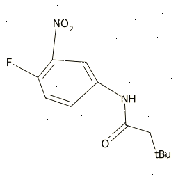 CC(C)(C)CC(=O)Nc1ccc(F)c([N+](=O)[O-])c1